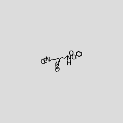 O=C=NCCCCC(CCCNC(=O)Oc1ccccc1)CN=C=O